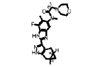 Cc1c(N(C)C(=O)[C@H](C)N2CCOCC2)cc2nc(-c3n[nH]c4c3C[C@@H]3C[C@]3(C)C4)[nH]c2c1F